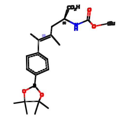 C/C(C[C@H](NC(=O)OC(C)(C)C)C(=O)O)=C(/C)c1ccc(B2OC(C)(C)C(C)(C)O2)cc1